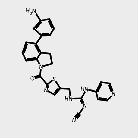 N#C/N=C(\NCc1cnc(C(=O)N2CCc3c(-c4cccc(N)c4)cccc32)s1)Nc1ccncc1